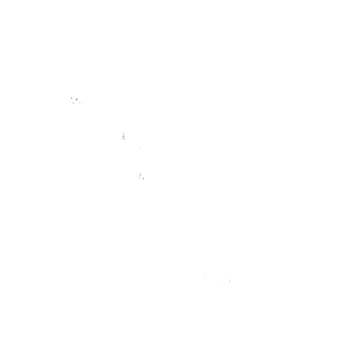 CCOC(=O)CCc1ccc(N(CC(=O)OCC)Sc2ccc(OC)cc2)c2ccccc12